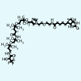 CC(C)(COC(C)(C)CCNC(=O)C(O)C(F)(F)F)NC(=O)CCC(C)(C)OCCC(C)(C)OCc1cn(CCOCCNC(=O)CCCCC2SC[C@H]3NC(=O)NC23)nn1